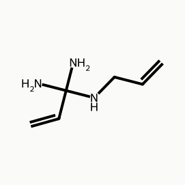 C=CCNC(N)(N)C=C